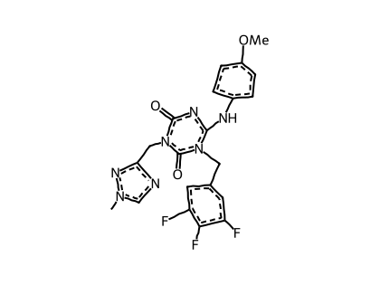 COc1ccc(Nc2nc(=O)n(Cc3ncn(C)n3)c(=O)n2Cc2cc(F)c(F)c(F)c2)cc1